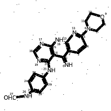 N=C(c1ccc(N2CCOCC2)nc1)c1c(N)ncnc1Nc1ccc(NC=O)cc1